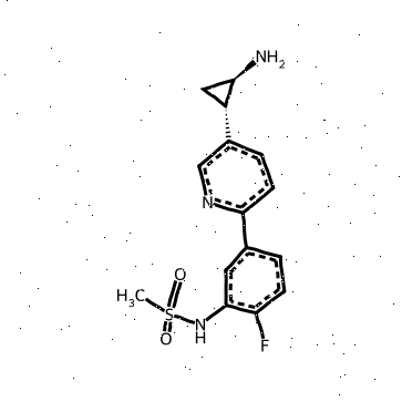 CS(=O)(=O)Nc1cc(-c2ccc([C@@H]3C[C@H]3N)cn2)ccc1F